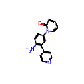 Nc1ccc(-n2ccccc2=O)cc1-c1ccncc1